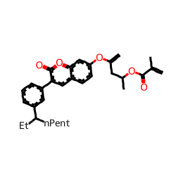 C=C(CC(C)OC(=O)C(=C)C)Oc1ccc2cc(-c3cccc(C(CC)CCCCC)c3)c(=O)oc2c1